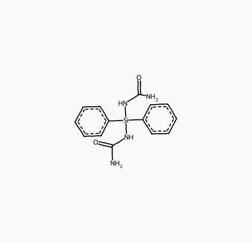 NC(=O)N[Si](NC(N)=O)(c1ccccc1)c1ccccc1